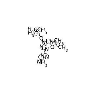 COC[C@H](C)NC(=O)c1cn(COCC[Si](C)(C)C)c2ncc(-c3cnc4cc(N)ccn34)nc12